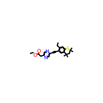 CCOC(=O)Cc1cnc(C#Cc2cc3c(cc2CC)SC(C)(C)CC3(C)C)cn1